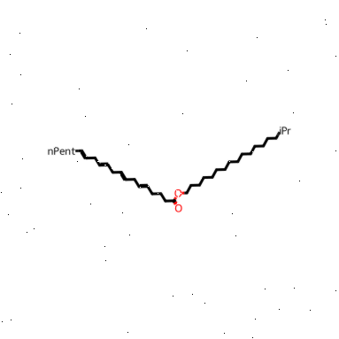 CCCCCC=CCC=CCC=CCC=CCCCC(=O)OCCCCCCCCCCCCCCCC(C)C